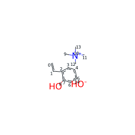 C=Cc1ccccc1O.C[N+](C)(C)C.[OH-]